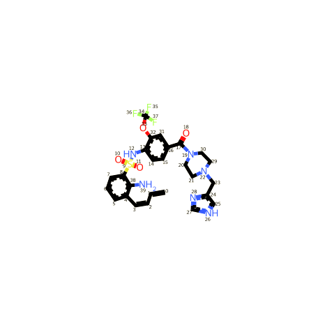 C=C/C=C\c1cccc(S(=O)(=O)Nc2ccc(C(=O)N3CCN(Cc4c[nH]cn4)CC3)cc2OC(F)(F)F)c1N